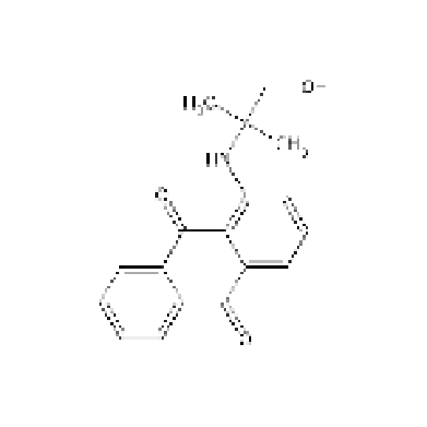 CC(C)(CO)Nc1cccc2c1C(=O)c1ccccc1C2=O